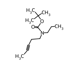 CC#CCCN(CCC)C(=O)OC(C)(C)C